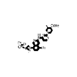 CCS(=O)(=O)C[C@H]1CN(c2ccc(C(C)C)c3cc(Nc4ccnc(N5CC[C@@H](OC)[C@H](C)C5)n4)ncc23)[C@@H]1C